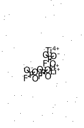 O=P([O-])([O-])F.O=P([O-])([O-])F.O=P([O-])([O-])F.[Li+].[Li+].[Ti+4]